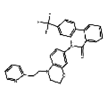 O=C(Nc1ccc2c(c1)OCCN2CCc1ccccn1)c1ccccc1-c1ccc(C(F)(F)F)cc1